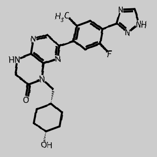 Cc1cc(-c2nc[nH]n2)c(F)cc1-c1cnc2c(n1)N(C[C@H]1CC[C@@H](O)CC1)C(=O)CN2